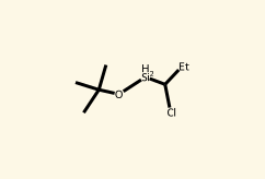 CCC(Cl)[SiH2]OC(C)(C)C